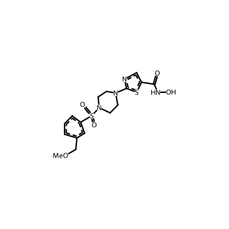 COCc1cccc(S(=O)(=O)N2CCN(c3ncc(C(=O)NO)s3)CC2)c1